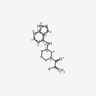 C=C(F)C(=O)N1CCC[C@@H](Nc2ncnc3[nH]ccc23)C1